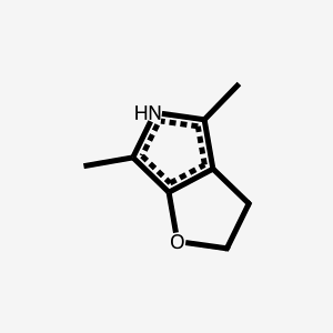 Cc1[nH]c(C)c2c1CCO2